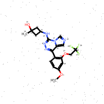 COc1ccc(-c2nnc(NC3CC(C)(O)C3)n3cncc23)c(OCC(F)(F)F)c1